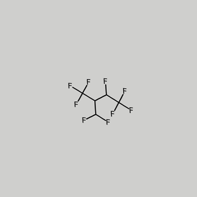 FC(F)C(C(F)C(F)(F)F)C(F)(F)F